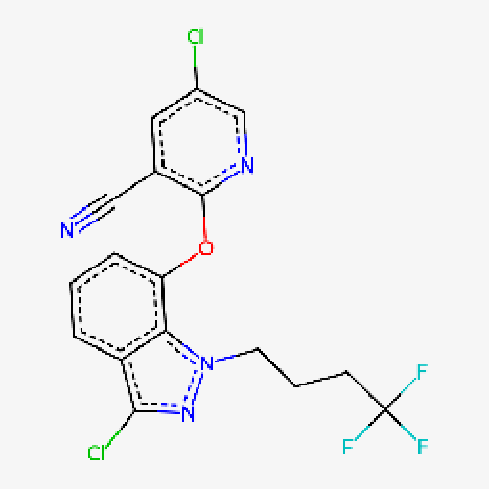 N#Cc1cc(Cl)cnc1Oc1cccc2c(Cl)nn(CCCC(F)(F)F)c12